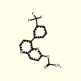 CC(=O)Oc1ccc2nccc(-c3cccc(C(F)(F)F)c3)c2n1